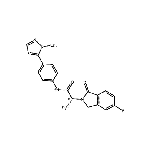 C[C@H](C(=O)Nc1ccc(-c2ccnn2C)cc1)N1Cc2cc(F)ccc2C1=O